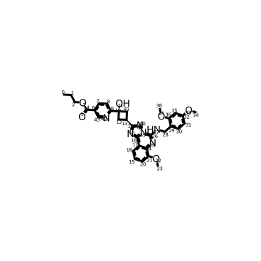 CCCOC(=O)c1ccc([C@]2(O)C[C@H](c3nc4c5cccc(OC)c5nc(NCc5ccc(OC)cc5OC)n4n3)C2)nc1